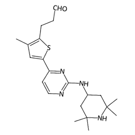 Cc1cc(-c2ccnc(NC3CC(C)(C)NC(C)(C)C3)n2)sc1CCC=O